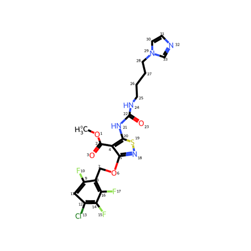 COC(=O)c1c(OCc2c(F)cc(Cl)c(F)c2F)nsc1NC(=O)NCCCCn1ccnc1